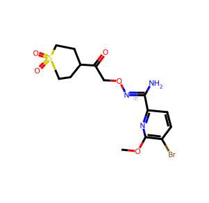 COc1nc(/C(N)=N/OCC(=O)C2CCS(=O)(=O)CC2)ccc1Br